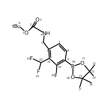 CC(C)(C)OC(=O)NCc1ccc(B2OC(C)(C)C(C)(C)O2)c(F)c1C(F)F